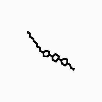 FCCCCCCCCC1CCC(C2CCC(C3CCC(CCF)CC3)CC2)CC1